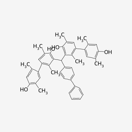 Cc1cc(-c2cc(C)c(O)c(C(c3ccc(-c4ccccc4)cc3)c3c(C)c(-c4cc(C)c(O)cc4C)cc(C)c3O)c2C)c(C)cc1O